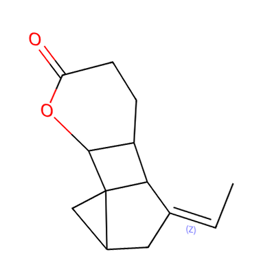 C/C=C1/CC2CC23C2OC(=O)CCC2C13